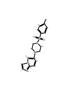 Cc1ccc(S(=O)(=O)N2CCN(c3ccc4nccn4n3)CC2)cc1